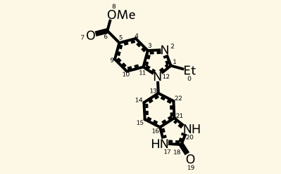 CCc1nc2cc(C(=O)OC)ccc2n1-c1ccc2[nH]c(=O)[nH]c2c1